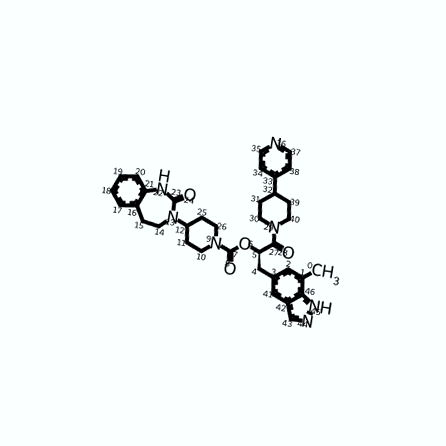 Cc1cc(C[C@@H](OC(=O)N2CCC(N3CCc4ccccc4NC3=O)CC2)C(=O)N2CCC(c3ccncc3)CC2)cc2cn[nH]c12